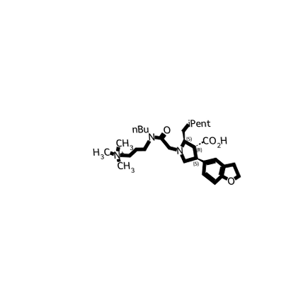 CCCCN(CCC[N+](C)(C)C)C(=O)CN1C[C@H](c2ccc3c(c2)CCO3)[C@@H](C(=O)O)[C@@H]1CC(C)CCC